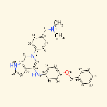 CN(C)Cc1ccc(N2C=C(Nc3ccc(OCc4ccccc4)cc3)c3cc[nH]c3C2)cc1